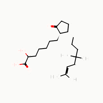 CC(C)=CCC(C)(C)CCC[C@H]1CCC(=O)[C@@H]1CCCCCC(O)C(=O)O